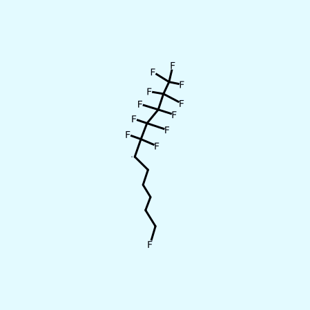 FCCCCC[CH]C(F)(F)C(F)(F)C(F)(F)C(F)(F)C(F)(F)F